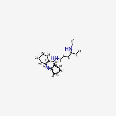 CCNC(CC)CCCNc1c2c(nc3ccccc13)CCCC2